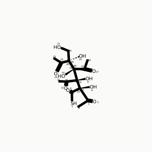 CC(=O)[C@](O)(C(=O)S)[C@](O)(C(C)=O)[C@@](O)(C(C)=O)[C@](O)(CO)C(C)=O